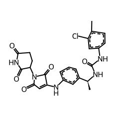 Cc1ccc(NC(=O)N[C@@H](C)c2cccc(NC3=CC(=O)N(C4CCC(=O)NC4=O)C3=O)c2)cc1Cl